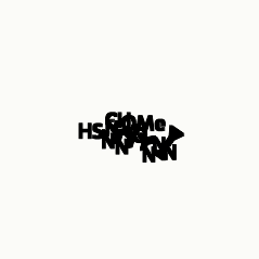 COc1c(Oc2cnc3cnc(C4CC4)n3c2)cnc2nc(S)n(C)c12